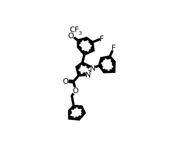 O=C(OCc1ccccc1)c1cc(-c2cc(F)cc(OC(F)(F)F)c2)n(-c2cccc(F)c2)n1